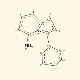 Nc1nccc2nnc(-c3ccccn3)n12